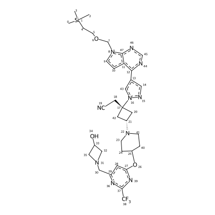 C[Si](C)(C)CCOCn1ccc2c(-c3cnn([C@]4(CC#N)C[C@H](N5CCC(Oc6cc(CN7CC(O)C7)nc(C(F)(F)F)n6)CC5)C4)c3)ncnc21